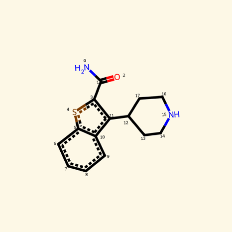 NC(=O)c1sc2ccccc2c1C1CCNCC1